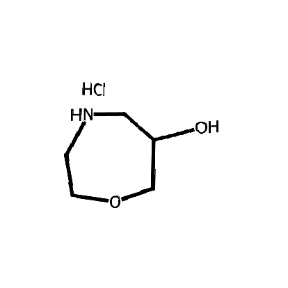 Cl.OC1CNCCOC1